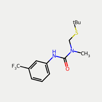 CN(CSC(C)(C)C)C(=O)Nc1cccc(C(F)(F)F)c1